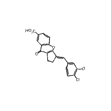 O=C(O)c1ccc2oc3c(c(=O)c2c1)CC/C3=C\c1ccc(Cl)c(Cl)c1